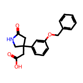 O=C(O)CC1(c2cccc(OCc3ccccc3)c2)CNC(=O)C1